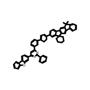 CC1(C)c2ccccc2-c2cc3c(cc21)-c1ccc(C2=CC=C(c4cccc(-c5cc(-c6ccc7c(c6)oc6ccccc67)nc(-c6ccccc6)n5)c4)CC2)cc1C31CCCCC1